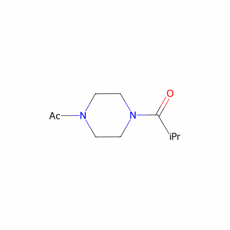 [CH2]C(C)C(=O)N1CCN(C(C)=O)CC1